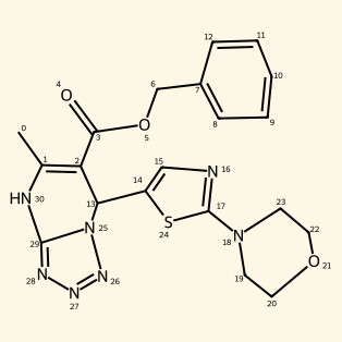 CC1=C(C(=O)OCc2ccccc2)C(c2cnc(N3CCOCC3)s2)n2nnnc2N1